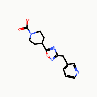 O=C(O)N1CCC(c2nc(Cc3cccnc3)no2)CC1